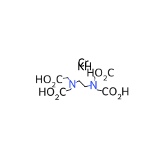 O=C(O)CN(CCN(CC(=O)O)CC(=O)O)CC(=O)O.[Cr].[KH]